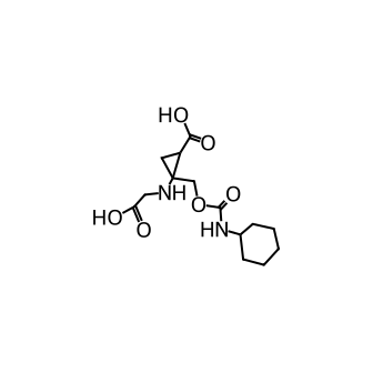 O=C(O)CNC1(COC(=O)NC2CCCCC2)CC1C(=O)O